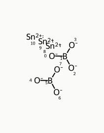 [O-]B([O-])[O-].[O-]B([O-])[O-].[Sn+2].[Sn+2].[Sn+2]